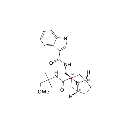 COCC(C)(C)NC(=O)CN1[C@@H]2CC[C@H]1C[C@H](CNC(=O)c1cn(C)c3ccccc13)C2